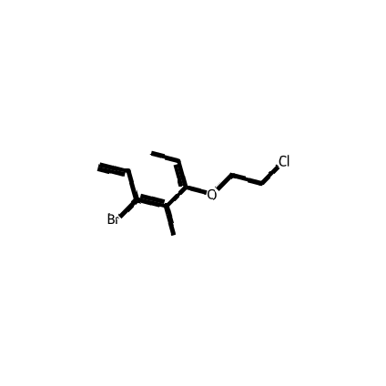 C=C/C(Br)=C(C)\C(=C/C)OCCCl